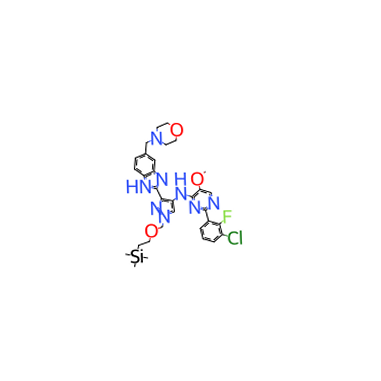 COc1cnc(-c2cccc(Cl)c2F)nc1Nc1cn(COCC[Si](C)(C)C)nc1-c1nc2cc(CN3CCOCC3)ccc2[nH]1